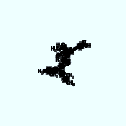 CCCCC(CC)CC1(CC(CC)CCCC)c2sc(C#Cc3ccc(C(=O)O)cc3)cc2-c2cc(-c3ccc(-c4ccc(N(c5ccc(-c6ccc(C)cc6C)cc5)c5ccc(-c6ccc(C)cc6C)cc5)cc4)c4nsnc34)sc21